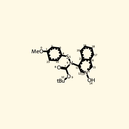 COc1ccc(SN(C(=O)OC(C)(C)C)c2c[n+](O)cc3ccccc23)cc1